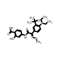 CCN(CC)c1ccc(/C(=N\OC)C(=O)Nc2ccc(C(=O)O)c(O)c2)cc1C(C)(C)C